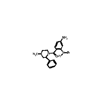 CC(C)N(c1cc(N)ccc1C(=O)N1CCN(C)CC1c1ccccc1)C(C)C